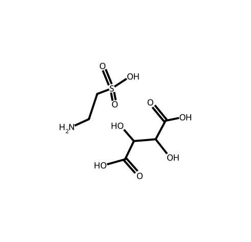 NCCS(=O)(=O)O.O=C(O)C(O)C(O)C(=O)O